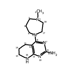 CN1CCCN(c2nc(N)nc3c2CCCN3)CC1